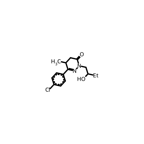 CCC(O)CN1N=C(c2ccc(Cl)cc2)C(C)CC1=O